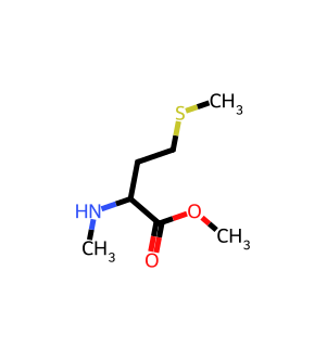 CNC(CCSC)C(=O)OC